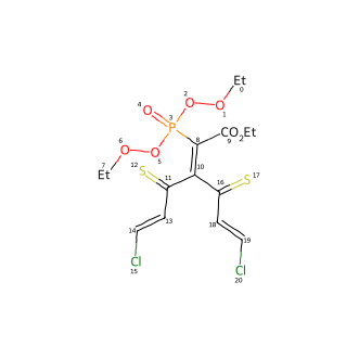 CCOOP(=O)(OOCC)C(C(=O)OCC)=C(C(=S)C=CCl)C(=S)C=CCl